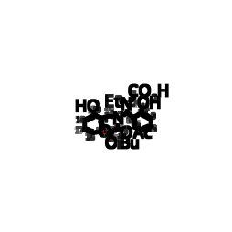 CCN(CC(=O)O)C(c1ccccc1O)N(Cc1ccccc1O)C(OC(C)=O)C(=O)OCC(C)C